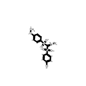 COc1ccc(S(=O)(=O)C(=[N+]=[N-])S(=O)(=O)c2ccc(Cl)cc2)cc1